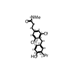 CNC(=O)CCc1cc(Cl)c(Cc2ccc(O)c(C(C)C)c2)c(Cl)c1